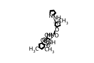 Cc1cc(C)c(S(=O)(=O)N[C@@H](CNC(=O)CO[C@@H]2C[C@@H](CNc3ccccn3)N(C)C2)C(=O)O)c(C)c1